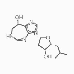 CC(C)C[C@H]1O[C@@H](n2cnc3c2N=CNC[C@H]3O)C[C@@H]1O